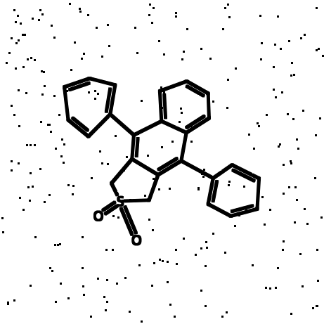 O=S1(=O)Cc2c(c(-c3ccccc3)c3ccccc3c2-c2ccccc2)C1